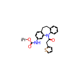 CC(C)OC(=O)Nc1ccc2c(c1)N(C(=O)Cc1cccs1)c1ccccc1CC2